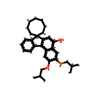 CC(C)COc1cc2c3c(cc(O)c2cc1SCC(C)C)C1(CCCCCCC1)c1ccccc1-3